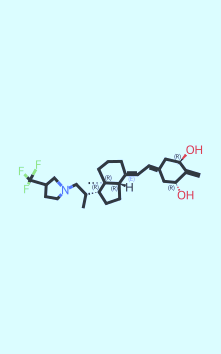 C=C1[C@H](O)CC(=C/C=C2\CCC[C@]3(C)[C@@H](C(C)CN4CCC(C(F)(F)F)C4)CC[C@@H]23)C[C@H]1O